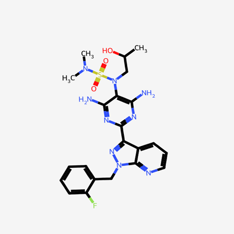 CC(O)CN(c1c(N)nc(-c2nn(Cc3ccccc3F)c3ncccc23)nc1N)S(=O)(=O)N(C)C